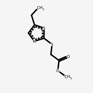 CCc1cnc(SCC(=O)OC)s1